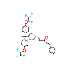 CC(c1ccc(C=CC(=O)C=Cc2ccccc2)cc1)(c1ccc(OC(F)=C(F)F)cc1)c1ccc(OC(F)=C(F)F)cc1